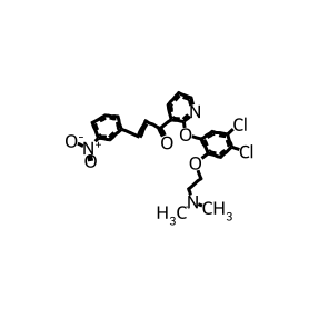 CN(C)CCOc1cc(Cl)c(Cl)cc1Oc1ncccc1C(=O)C=Cc1cccc([N+](=O)[O-])c1